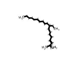 CCCCCCCCCCC(CC)CCCCCCC(N)N